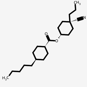 CCCCC[C@H]1CC[C@H](C(=O)O[C@H]2CC[C@](C#N)(CCC)CC2)CC1